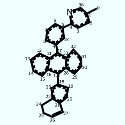 Cc1ccc(-c2cccc(-c3c4ccccc4c(-c4ccc5c(c4)CCC=C5)c4ccccc34)c2)nc1